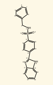 O=S(=O)(NCc1ccncc1)c1ccc(-c2nc3ccccc3[nH]2)cc1